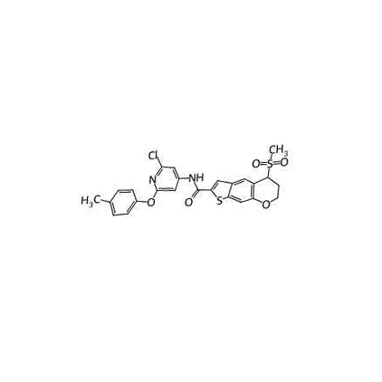 Cc1ccc(Oc2cc(NC(=O)c3cc4cc5c(cc4s3)OCCC5S(C)(=O)=O)cc(Cl)n2)cc1